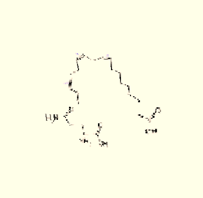 CC/C=C\C/C=C\C/C=C\CCCCCCCC(=O)O.NC(=O)CCC(N)C(=O)O